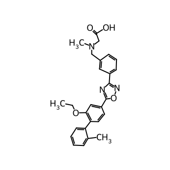 CCOc1cc(-c2nc(-c3cccc(CN(C)CC(=O)O)c3)no2)ccc1-c1ccccc1C